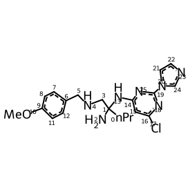 CCCC(N)(CNCc1ccc(OC)cc1)Nc1cc(Cl)nc(-n2ccnc2)n1